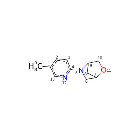 Cc1ccc(N2CC3CC2CO3)nc1